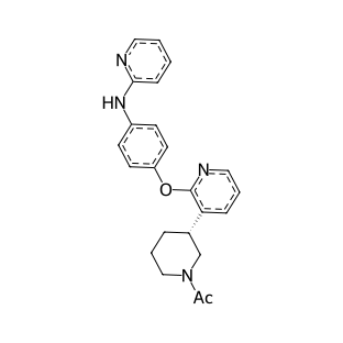 CC(=O)N1CCC[C@H](c2cccnc2Oc2ccc(Nc3ccccn3)cc2)C1